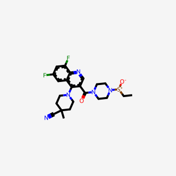 CC[S+]([O-])N1CCN(C(=O)c2cnc3c(F)cc(F)cc3c2N2CCC(C)(C#N)CC2)CC1